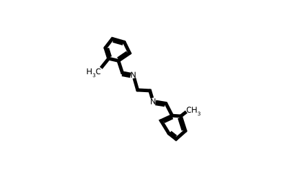 Cc1ccccc1/C=N/CC/N=C/c1ccccc1C